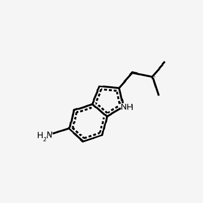 C[C](C)Cc1cc2cc(N)ccc2[nH]1